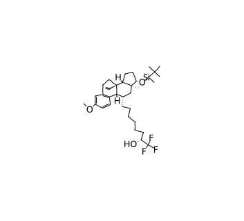 C=C[C@]12CCc3cc(OC)ccc3[C@H]1[C@@H](CCCCCC[C@@H](O)C(F)(F)F)C[C@]1(C)[C@@H](O[Si](C)(C)C(C)(C)C)CC[C@H]12